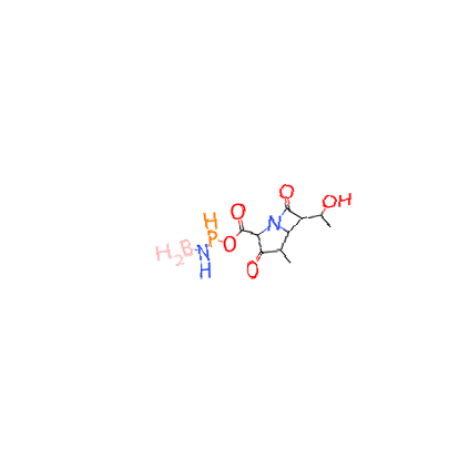 BNPOC(=O)C1C(=O)C(C)C2C(C(C)O)C(=O)N12